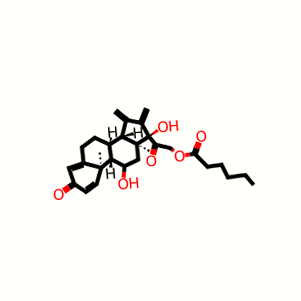 C=C1C(=C)[C@](O)(C(=O)COC(=O)CCCCC)[C@@]2(C)CC(O)[C@H]3[C@@H](CCC4=CC(=O)C=C[C@@]43C)[C@H]12